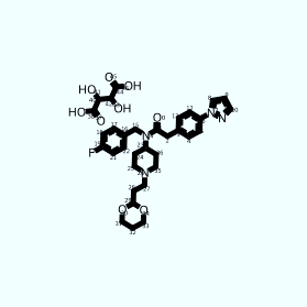 O=C(Cc1ccc(-n2cccn2)cc1)N(Cc1ccc(F)cc1)C1CCN(CCC2OCCCO2)CC1.O=C(O)C(O)C(O)C(=O)O